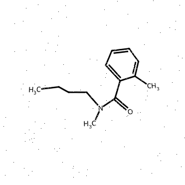 CCCCN(C)C(=O)c1ccccc1C